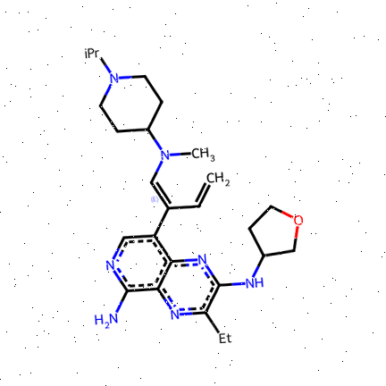 C=C/C(=C\N(C)C1CCN(C(C)C)CC1)c1cnc(N)c2nc(CC)c(NC3CCOC3)nc12